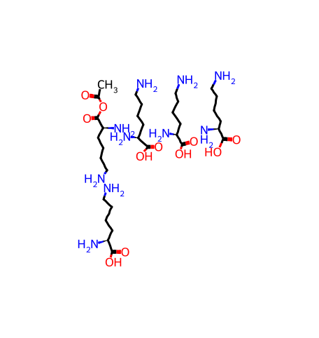 CC(=O)OC(=O)[C@@H](N)CCCCN.NCCCC[C@H](N)C(=O)O.NCCCC[C@H](N)C(=O)O.NCCCC[C@H](N)C(=O)O.NCCCC[C@H](N)C(=O)O